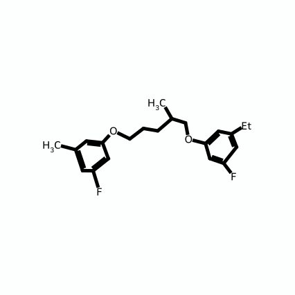 CCc1cc(F)cc(OCC(C)CCCOc2cc(C)cc(F)c2)c1